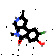 Cc1cc2c3cc(Cl)c(O)cc3c(=O)n(C)c2cn1